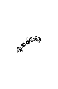 O=C(NC[C@H]1CN(c2ccc(N3CCON(C(=O)Nc4nccs4)CC3)c(F)c2)C(=O)O1)C(F)F